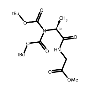 COC(=O)CNC(=O)[C@H](C)N(C(=O)OC(C)(C)C)C(=O)OC(C)(C)C